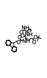 CC(C)[C@H](NC(=O)[C@H](CCC(=O)OC(C)(C)C)NC(=O)OCC1c2ccccc2-c2ccccc21)C(N)=O